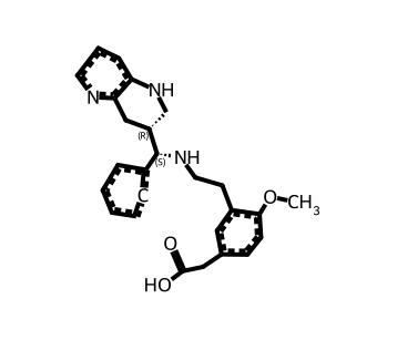 COc1ccc(CC(=O)O)cc1CCN[C@H](c1ccccc1)[C@H]1CNc2cccnc2C1